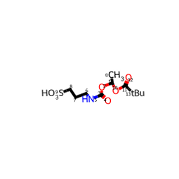 CC(OC(=O)NCCCS(=O)(=O)O)OC(=O)C(C)(C)C